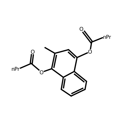 CCCC(=O)Oc1cc(C)c(OC(=O)CCC)c2ccccc12